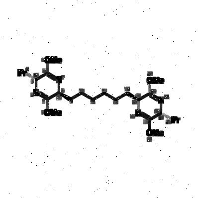 COC1=N[C@H](C(C)C)C(OC)=N[C@H]1CCCCCC[C@@H]1N=C(OC)[C@@H](C(C)C)N=C1OC